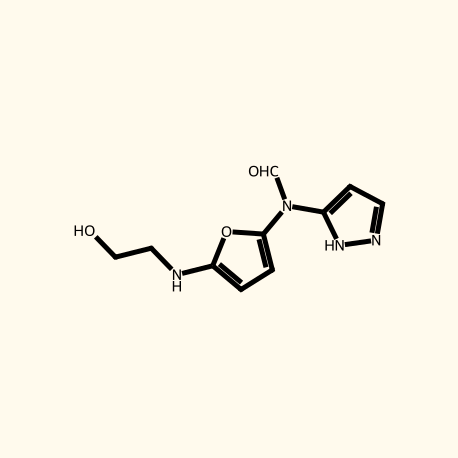 O=CN(c1ccn[nH]1)c1ccc(NCCO)o1